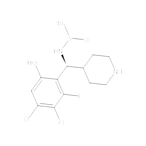 CC(C)(C)[S+]([O-])N[C@H](c1c(O)cc(Cl)c(Cl)c1F)C1CCNCC1